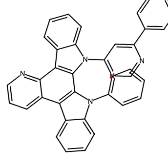 c1ccc(-c2cc(-n3c4ccccc4c4c5ncccc5c5c6ccccc6n(-c6ccccc6)c5c43)ncn2)cc1